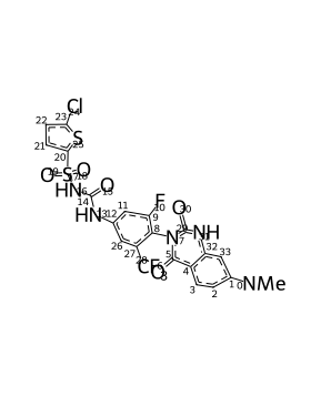 CNc1ccc2c(=O)n(-c3c(F)cc(NC(=O)NS(=O)(=O)c4ccc(Cl)s4)cc3C(F)(F)F)c(=O)[nH]c2c1